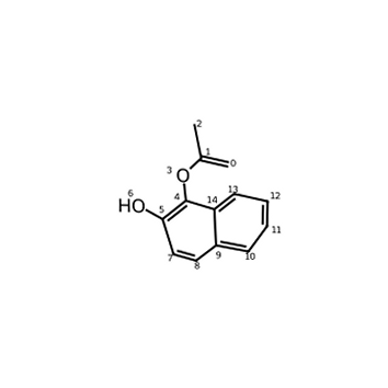 C=C(C)Oc1c(O)ccc2ccccc12